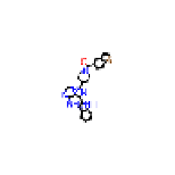 Nc1nccn2c(C3CCN(C(=O)c4ccc5sccc5c4)CC3)nc(-c3cc4ccccc4[nH]3)c12